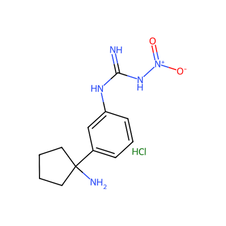 Cl.N=C(Nc1cccc(C2(N)CCCC2)c1)N[N+](=O)[O-]